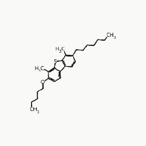 CCCCCCCc1ccc2c(sc3c(C)c(OCCCCC)ccc32)c1C